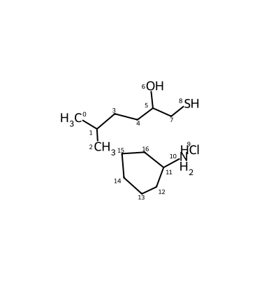 CC(C)CCC(O)CS.Cl.NC1CCCCC1